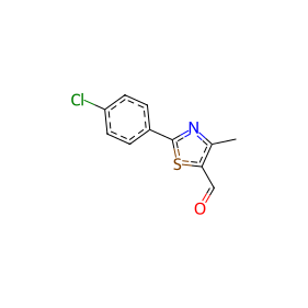 Cc1nc(-c2ccc(Cl)cc2)sc1C=O